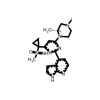 C[C@@H]1CN(I)CCN1c1cc(C2(S(C)(=N)=O)CC2)nc(-c2ccnc3[nH]ccc23)n1